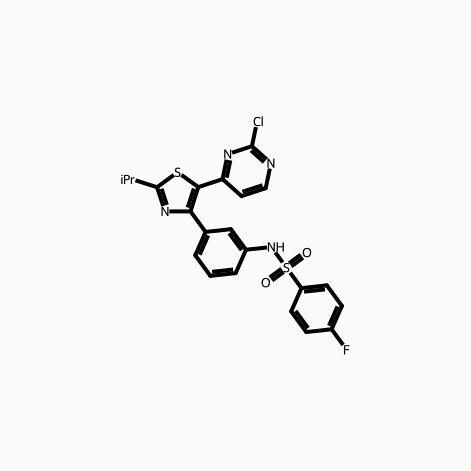 CC(C)c1nc(-c2cccc(NS(=O)(=O)c3ccc(F)cc3)c2)c(-c2ccnc(Cl)n2)s1